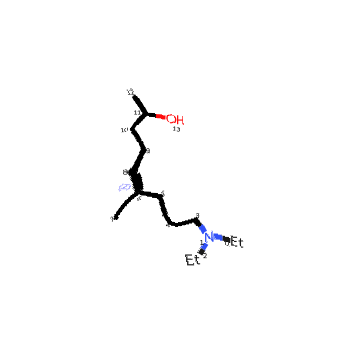 CCN(CC)CCC/C(C)=C\CCC(C)O